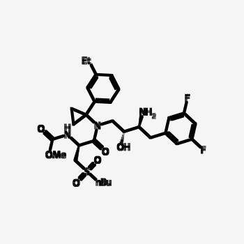 CCCCS(=O)(=O)C[C@@H](NC(=O)OC)C(=O)N(C[C@@H](O)[C@@H](N)Cc1cc(F)cc(F)c1)C1(c2cccc(CC)c2)CC1